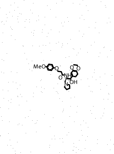 COc1ccc(OCCC(=O)N[C@H](CN2CCCC2)[C@@H](O)C2=CC3=C(CC2)OCCO3)cc1